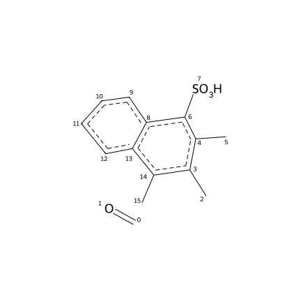 C=O.Cc1c(C)c(S(=O)(=O)O)c2ccccc2c1C